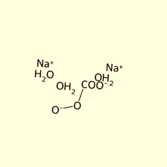 O.O.O.O=C([O-])O[O-].[Na+].[Na+]